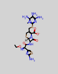 CCO/N=C(\C(=O)NC1C(=O)N2C(C(=O)[O-])=C(CSc3nc(N)c(N)c(N)[n+]3C)CS[C@H]12)c1csc(N)n1